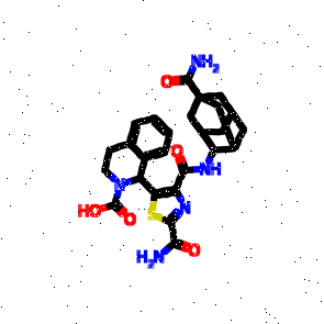 NC(=O)c1nc(C(=O)NC2C3CC4CC2CC(C(N)=O)(C4)C3)c(C2c3ccccc3CCN2C(=O)O)s1